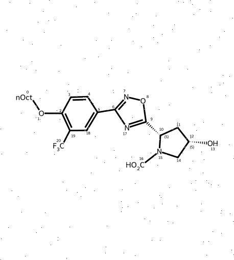 CCCCCCCCOc1ccc(-c2noc([C@@H]3C[C@H](O)CN3C(=O)O)n2)cc1C(F)(F)F